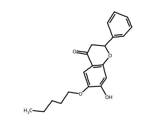 CCCCCOc1cc2c(cc1O)OC(c1ccccc1)CC2=O